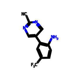 N#Cc1ncc(-c2cc(C(F)(F)F)ccc2N)cn1